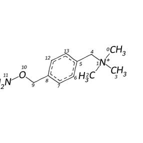 C[N+](C)(C)Cc1ccc(CON)cc1